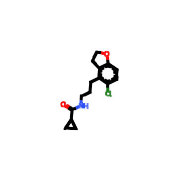 O=C(NCCCc1c(Cl)ccc2c1CCO2)C1CC1